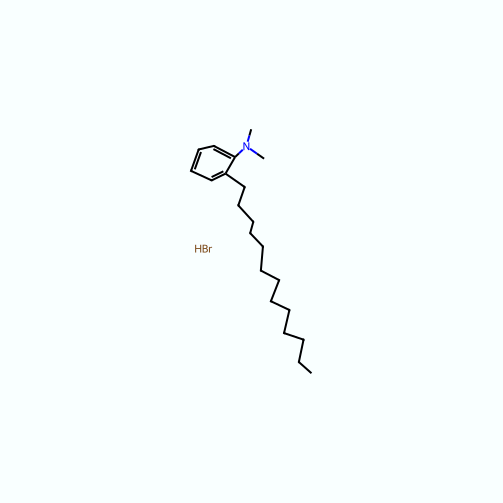 Br.CCCCCCCCCCCCCc1ccccc1N(C)C